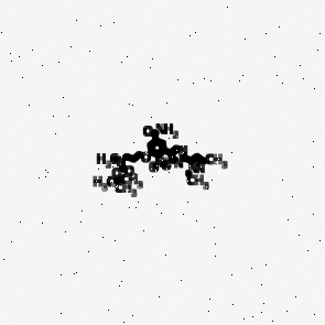 CCn1nc(C)cc1-c1ncc(-c2cc(C(N)=O)cc(OCCCN(C)C(=O)OC(C)(C)C)c2[N+](=O)[O-])cn1